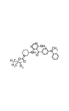 CN(c1ccccc1)c1ccc(C(=O)c2c(N)ncnc2N[C@@H]2CCCN(C(=O)OC(C)(C)C)C2)cc1